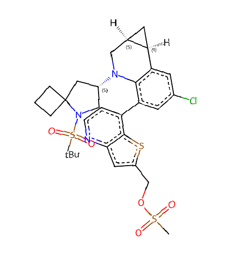 CC(C)(C)S(=O)(=O)N1C[C@@H](N2C[C@H]3C[C@H]3c3cc(Cl)cc(-c4ccnc5cc(COS(C)(=O)=O)sc45)c32)CC12CCC2